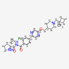 C[C@@]1(C(=O)NC(=O)c2ccc(-c3cnc(OCC4CCN(CC5(C(F)(F)F)CCC5)CC4)cn3)cc2F)CCCN1